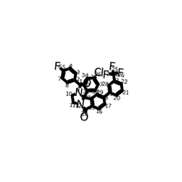 O=C(c1ccc(F)cc1)N1CCN2C(=O)c3ccc(-c4cccc(C(F)(F)F)c4)cc3C12c1ccc(Cl)cc1